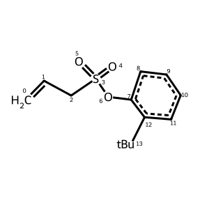 C=CCS(=O)(=O)Oc1ccccc1C(C)(C)C